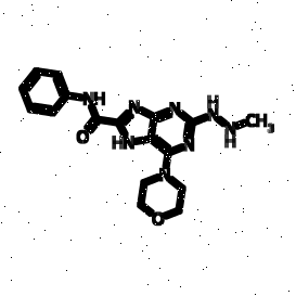 CNNc1nc(N2CCOCC2)c2[nH]c(C(=O)Nc3ccccc3)nc2n1